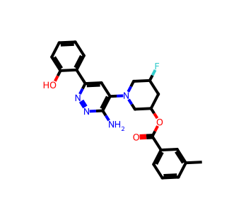 Cc1cccc(C(=O)OC2CC(F)CN(c3cc(-c4ccccc4O)nnc3N)C2)c1